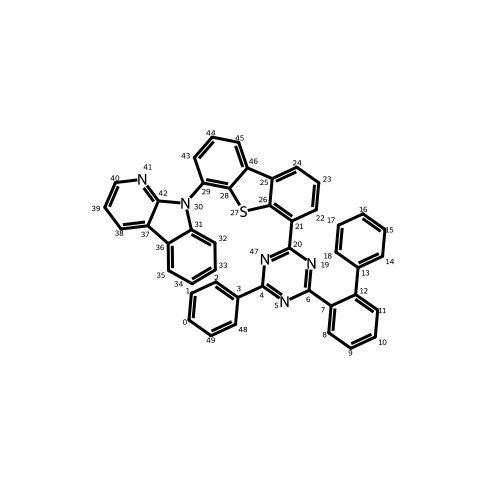 c1ccc(-c2nc(-c3ccccc3-c3ccccc3)nc(-c3cccc4c3sc3c(-n5c6ccccc6c6cccnc65)cccc34)n2)cc1